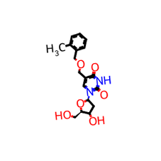 Cc1ccccc1COCc1cn([C@H]2CC(O)[C@@H](CO)O2)c(=O)[nH]c1=O